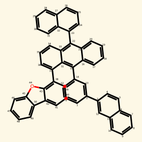 c1cc(-c2ccc3ccccc3c2)cc(-c2c3ccccc3c(-c3cccc4ccccc34)c3cccc(-c4cccc5c4oc4ccccc45)c23)c1